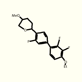 CCOc1ccc(-c2ccc(C3CCC(OC)CO3)c(F)c2)c(F)c1F